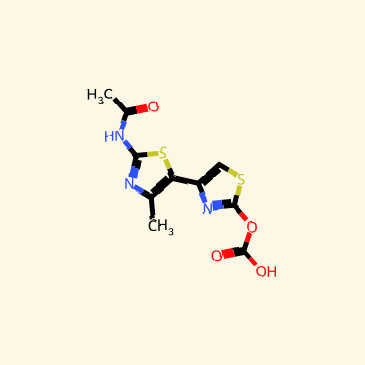 CC(=O)Nc1nc(C)c(-c2csc(OC(=O)O)n2)s1